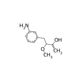 C=C(O)C(Cc1cccc(N)c1)OC